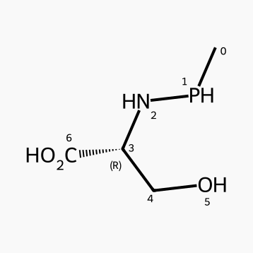 CPN[C@H](CO)C(=O)O